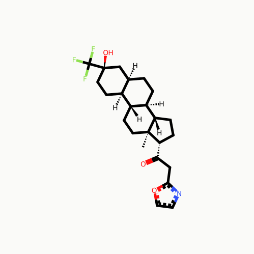 C[C@]12CC[C@H]3[C@@H](CC[C@@H]4C[C@@](O)(C(F)(F)F)CC[C@@H]43)[C@@H]1CC[C@@H]2C(=O)Cc1ncco1